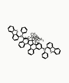 C[Si](C)(C)C1([Si](C)(C)C)c2cc(N(c3ccccc3)c3cccc4c3sc3ccccc34)c3ccccc3c2-c2c1c1ccc(N(c3ccccc3)c3cccc4c3sc3ccccc34)cc1c1ccccc21